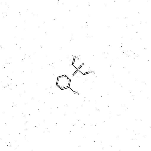 C=CS(=O)(=O)C=C.Cc1ccccc1